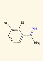 CCCCC(=N)c1cccc(C#N)c1CC